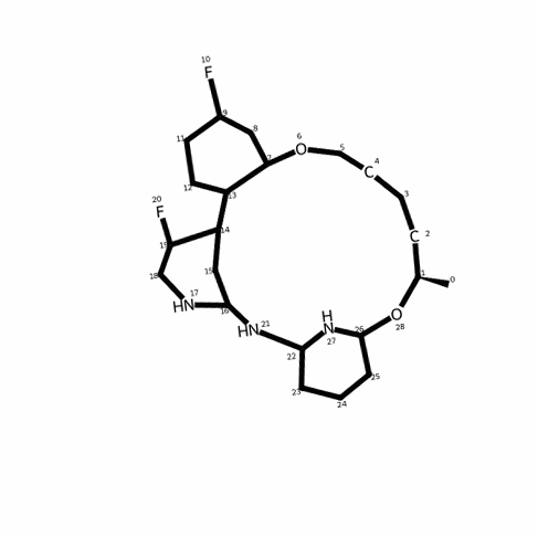 C[C@@H]1CCCCOC2CC(F)CCC2C2CC(NCC2F)NC2CCCC(N2)O1